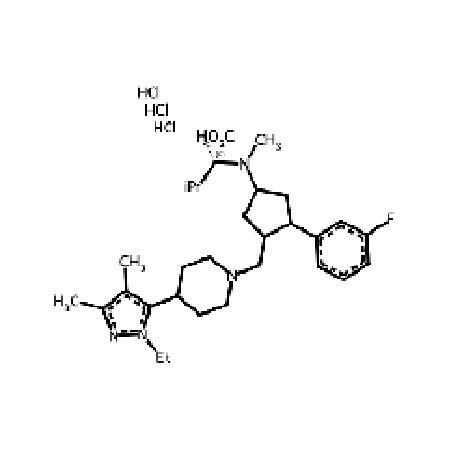 CCn1nc(C)c(C)c1C1CCN(CC2CC(N(C)[C@@H](C(=O)O)C(C)C)CC2c2cccc(F)c2)CC1.Cl.Cl.Cl